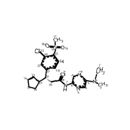 CN(C)c1cnc(NC(=O)C[C@@H](c2ccc(S(C)(=O)=O)c(Cl)c2)C2CCCC2)cn1